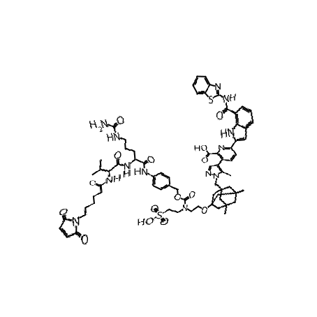 Cc1c(-c2ccc(-c3cc4cccc(C(=O)Nc5nc6ccccc6s5)c4[nH]3)nc2C(=O)O)cnn1CC12CC3(C)CC(C)(C1)CC(OCCN(CCS(=O)(=O)O)C(=O)OCc1ccc(NC(=O)C(CCCNC(N)=O)NC(=O)[C@@H](NC(=O)CCCCCN4C(=O)C=CC4=O)C(C)C)cc1)(C3)C2